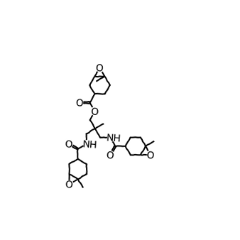 CC(CNC(=O)C1CCC2(C)OC2C1)(CNC(=O)C1CCC2(C)OC2C1)COC(=O)C1CCC2(C)OC2C1